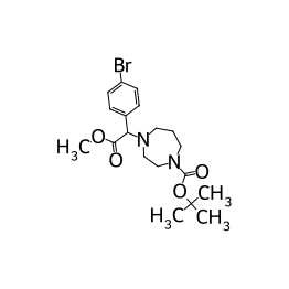 COC(=O)C(c1ccc(Br)cc1)N1CCCN(C(=O)OC(C)(C)C)CC1